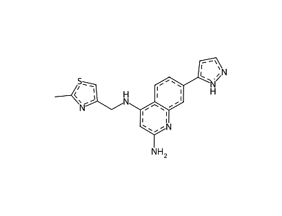 Cc1nc(CNc2cc(N)nc3cc(-c4ccn[nH]4)ccc23)cs1